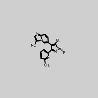 CCc1c(-c2ccc3ncc(C#N)n3c2)c(-c2cccc(C)n2)nn1SF